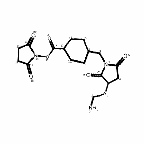 NCSC1CC(=O)N(CC2CCC(C(=O)ON3C(=O)CCC3=O)CC2)C1=O